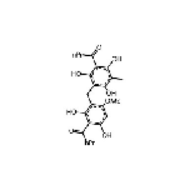 CCCC(=O)c1c(O)cc(OC)c(Cc2c(O)c(C)c(O)c(C(=O)CCC)c2O)c1O